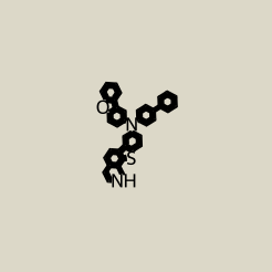 C1=Cc2ccc3c(sc4ccc(N(c5ccc(-c6ccccc6)cc5)c5ccc6oc7ccccc7c6c5)cc43)c2CN1